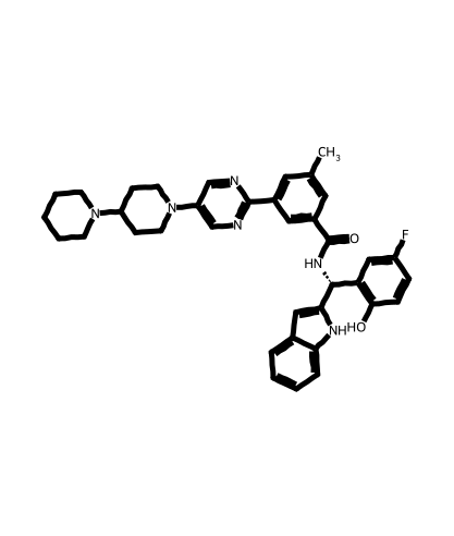 Cc1cc(C(=O)N[C@@H](c2cc3ccccc3[nH]2)c2cc(F)ccc2O)cc(-c2ncc(N3CCC(N4CCCCC4)CC3)cn2)c1